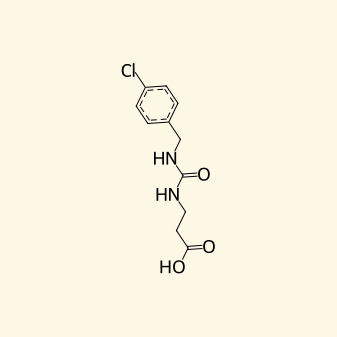 O=C(O)CCNC(=O)NCc1ccc(Cl)cc1